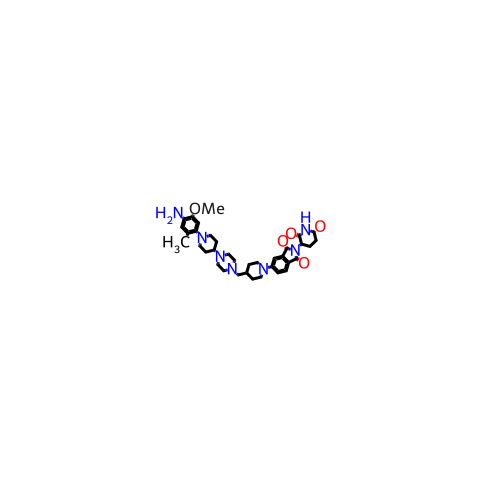 COc1cc(N2CCC(N3CCN(CC4CCN(c5ccc6c(c5)C(=O)N(C5CCC(=O)NC5=O)C6=O)CC4)CC3)CC2)c(C)cc1N